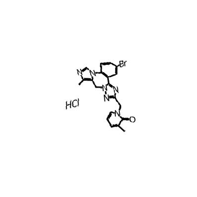 Cc1ncn2c1Cn1nc(Cn3cccc(C)c3=O)nc1-c1cc(Br)ccc1-2.Cl